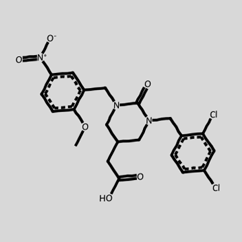 COc1ccc([N+](=O)[O-])cc1CN1CC(CC(=O)O)CN(Cc2ccc(Cl)cc2Cl)C1=O